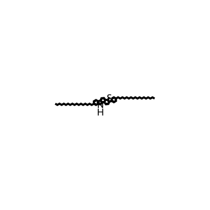 CCCCCCCCCCCCCCCCCCc1ccc2c(c1)[nH]c1c2ccc2c1ccc1c3ccc(CCCCCCCCCCCCCCCCCC)cc3sc12